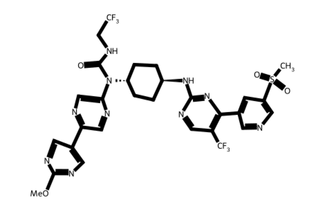 COc1ncc(-c2cnc(N(C(=O)NCC(F)(F)F)[C@H]3CC[C@H](Nc4ncc(C(F)(F)F)c(-c5cncc(S(C)(=O)=O)c5)n4)CC3)cn2)cn1